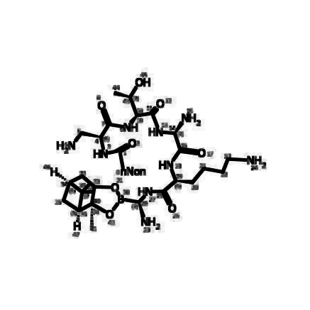 CCCCCCCCCC(=O)N[C@@H](CN)C(=O)N[C@H](C(=O)N[C@@H](N)C(=O)N[C@@H](CCCCN)C(=O)N[C@@H](N)B1OC2C[C@@H]3C[C@@H](C3(C)C)[C@]2(C)O1)[C@@H](C)O